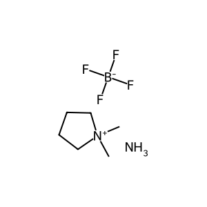 C[N+]1(C)CCCC1.F[B-](F)(F)F.N